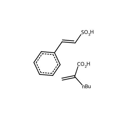 C=C(CCCC)C(=O)O.O=S(=O)(O)C=Cc1ccccc1